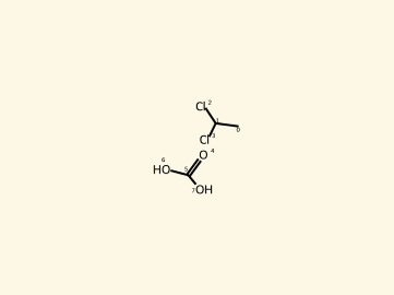 CC(Cl)Cl.O=C(O)O